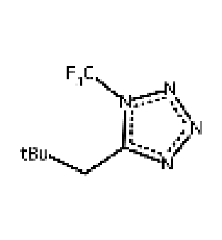 CC(C)(C)Cc1nnnn1C(F)(F)F